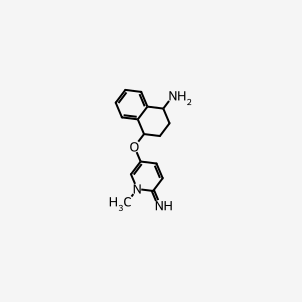 Cn1cc(OC2CCC(N)c3ccccc32)ccc1=N